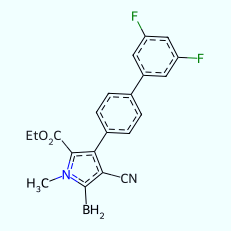 Bc1c(C#N)c(-c2ccc(-c3cc(F)cc(F)c3)cc2)c(C(=O)OCC)n1C